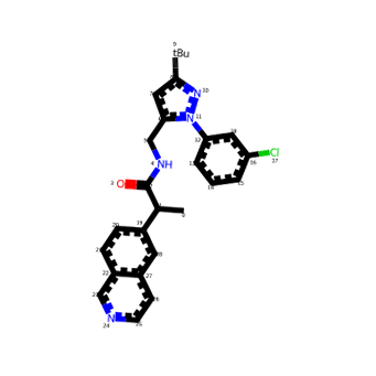 CC(C(=O)NCc1cc(C(C)(C)C)nn1-c1cccc(Cl)c1)c1ccc2cnccc2c1